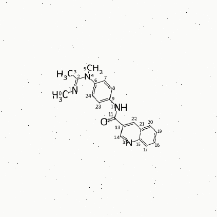 CN=C(C)N(C)c1ccc(NC(=O)c2cnc3ccccc3c2)cc1